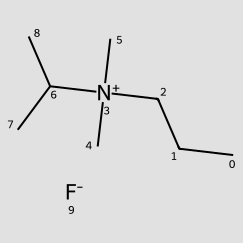 CCC[N+](C)(C)C(C)C.[F-]